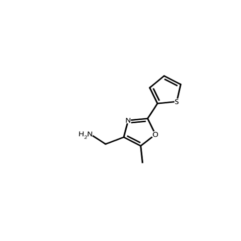 Cc1oc(-c2cccs2)nc1CN